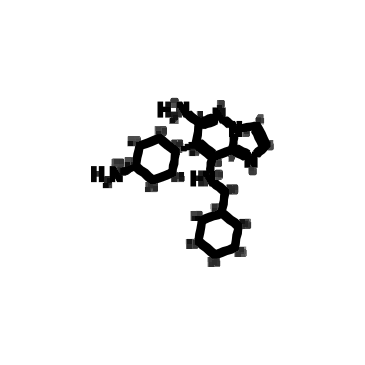 Nc1nn2ccnc2c(NCC2CCCCC2)c1[C@H]1CC[C@H](N)CC1